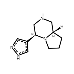 c1n[nH]cc1[C@H]1CNC[C@@H]2CCCN21